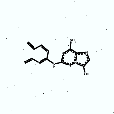 C=C/C=C\C(=C/C=C)Nc1nc(N)c2ncc(C#N)n2n1